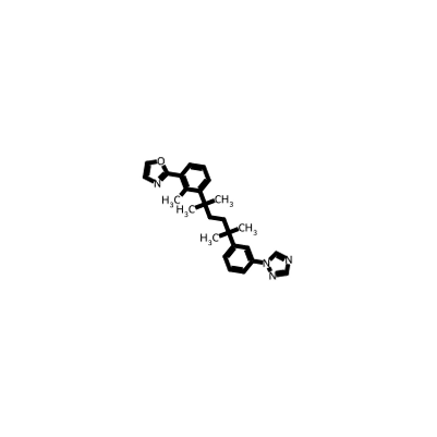 Cc1c(-c2ncco2)cccc1C(C)(C)CCC(C)(C)c1cccc(-n2cncn2)c1